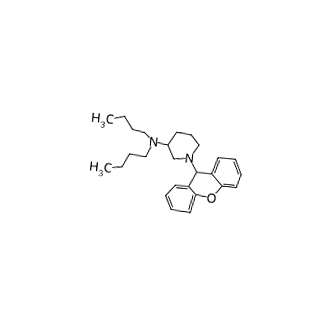 CCCCN(CCCC)C1CCCN(C2c3ccccc3Oc3ccccc32)C1